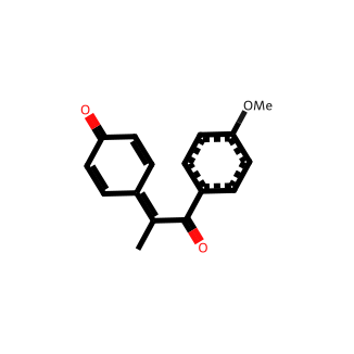 COc1ccc(C(=O)C(C)=C2C=CC(=O)C=C2)cc1